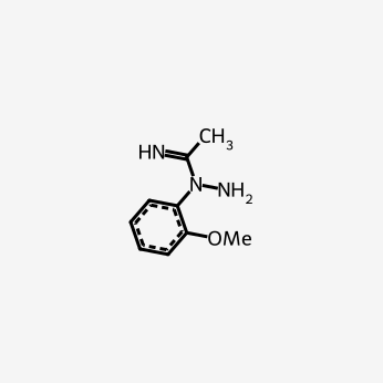 COc1ccccc1N(N)C(C)=N